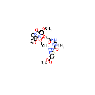 C=CCOC(=O)N1c2c(OCCCC(=O)Nc3cn(C)c(C(=O)Nc4nc5cc(C(=O)OC)ccc5s4)n3)cc(OC)cc2C(=O)N2CCCC[C@H]2C1OC1CCCCO1